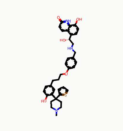 CN1CCC(c2cccs2)(c2cc(CCCOc3ccc(CNC[C@H](O)c4ccc(O)c5[nH]c(=O)ccc45)cc3)ccc2O)CC1